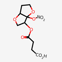 O=C(O)CCC(=O)OC1COC2CCOC21O[N+](=O)[O-]